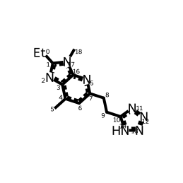 CCc1nc2c(C)cc(CCc3nnn[nH]3)nc2n1C